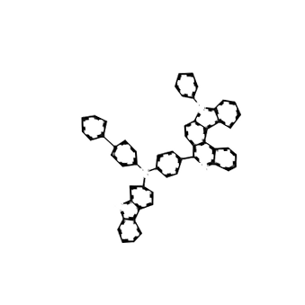 c1ccc(-c2ccc(N(c3ccc(-c4nc5ccccc5c5c4ccc4c5c5ccccc5n4-c4ccccc4)cc3)c3ccc4c(c3)oc3ccccc34)cc2)cc1